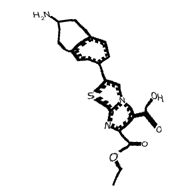 CCOC(=O)c1nc2sc(-c3ccc4c(c3)CC(N)C4)cn2c1C(=O)O